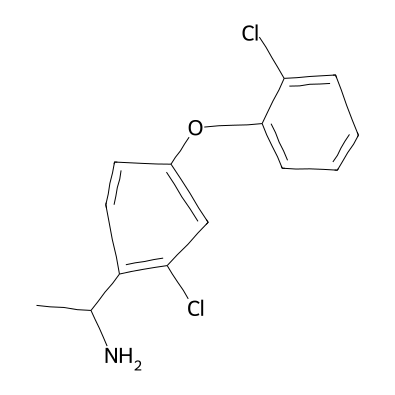 CC(N)c1ccc(Oc2ccccc2Cl)cc1Cl